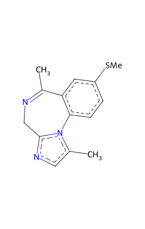 CSc1ccc2c(c1)C(C)=NCc1ncc(C)n1-2